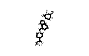 CC(C)(C)OC(=O)C1CCN(Cc2cccc3c2CCN3[C@H]2CCC(=O)NC2=O)CC1